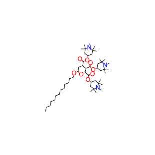 CCCCCCCCCCCCCOC(=O)CC(C(=O)OC1CC(C)(C)N(C)C(C)(C)C1)C(CC(=O)OC1CC(C)(C)N(C)C(C)(C)C1)C(=O)OC1CC(C)(C)N(C)C(C)(C)C1